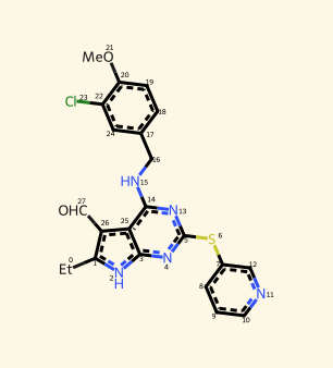 CCc1[nH]c2nc(Sc3cccnc3)nc(NCc3ccc(OC)c(Cl)c3)c2c1C=O